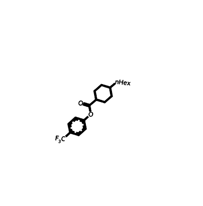 CCCCCCC1CCC(C(=O)Oc2ccc(C(F)(F)F)cc2)CC1